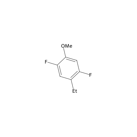 [CH2]Cc1cc(F)c(OC)cc1F